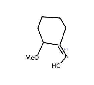 COC1CCCC/C1=N/O